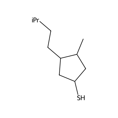 CC(C)CCC1CC(S)CC1C